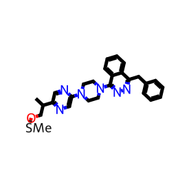 CSOCC(C)c1cnc(N2CCN(c3nnc(Cc4ccccc4)c4ccccc34)CC2)cn1